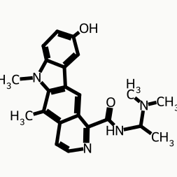 Cc1c2ccnc(C(=O)NC(C)N(C)C)c2cc2c3cc(O)ccc3n(C)c12